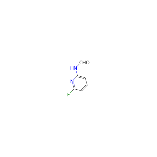 O=CNc1cccc(F)n1